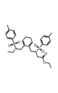 CCOC(=O)CN(CC1=CCCC=C1CN(CC)S(=O)(=O)c1ccc(C)cc1)S(=O)(=O)c1ccc(C)cc1